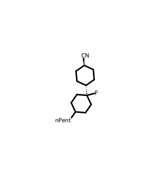 CCCCCC1CCC(F)([C@H]2CC[C@H](C#N)CC2)CC1